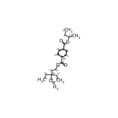 CCC(C)OC(=O)c1ccc(C(=O)OCCC(CC)(CC)OC)cc1